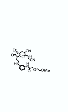 CCN1C(=O)C(CCNc2cccc(NC(=O)COCCOC)c2)SC1CC(C#N)C(=O)NCC#N